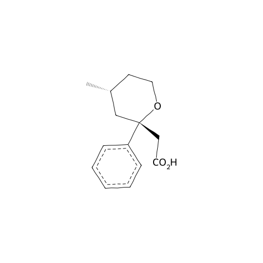 C[C@@H]1CCO[C@](CC(=O)O)(c2ccccc2)C1